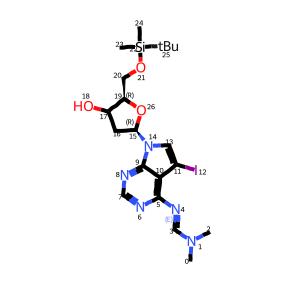 CN(C)/C=N/c1ncnc2c1c(I)cn2[C@H]1CC(O)[C@@H](CO[Si](C)(C)C(C)(C)C)O1